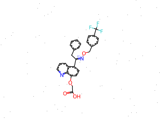 O=C(O)COc1ccc(/C(Cc2ccccc2)=N/OCc2ccc(C(F)(F)F)cc2)c2cccnc12